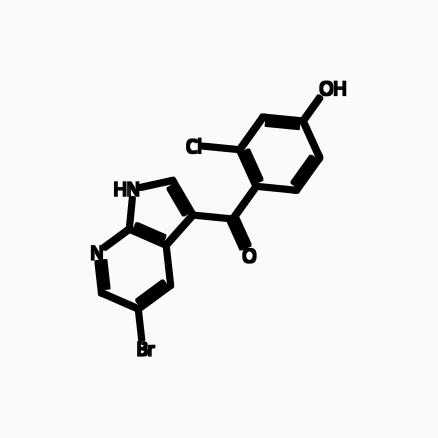 O=C(c1ccc(O)cc1Cl)c1c[nH]c2ncc(Br)cc12